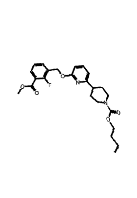 CCCCOC(=O)N1CCC(c2cccc(OCc3cccc(C(=O)OC)c3F)n2)CC1